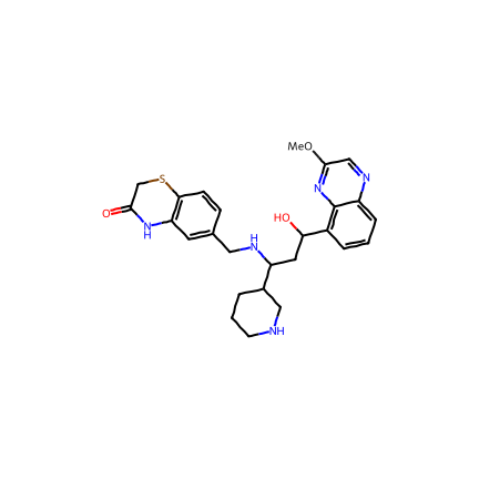 COc1cnc2cccc(C(O)CC(NCc3ccc4c(c3)NC(=O)CS4)C3CCCNC3)c2n1